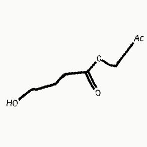 CC(=O)COC(=O)CCCO